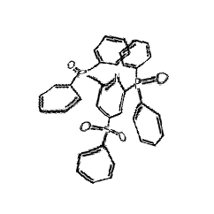 O=P(c1ccccc1)(c1ccccc1)c1cc(S(=O)(=O)c2ccccc2)cc(P(=O)(c2ccccc2)c2ccccc2)n1